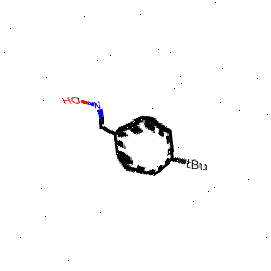 CC(C)(C)c1ccc(C=NO)cc1